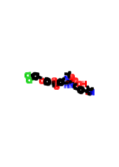 Cc1nccc(-c2ccc(CC(NC(=O)[C@@H]3Cc4cc5c(cc4CN3C(=O)C(C)C)O[C@@H](c3ccc(OCc4ccc(Cl)c(Cl)c4)cc3)CO5)C(=O)O)cc2)c1C